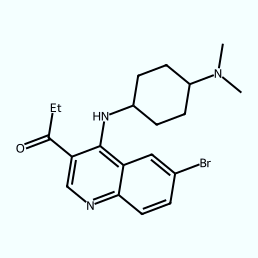 CCC(=O)c1cnc2ccc(Br)cc2c1NC1CCC(N(C)C)CC1